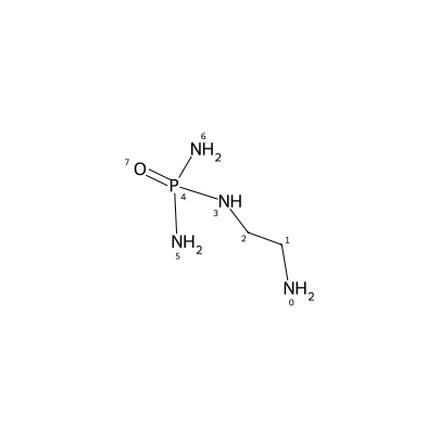 NCCNP(N)(N)=O